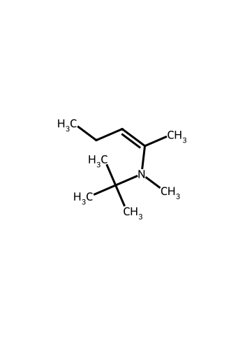 CC/C=C(/C)N(C)C(C)(C)C